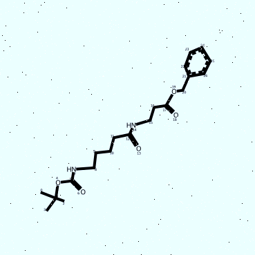 CC(C)(C)OC(=O)NCCCCC(=O)NCCC(=O)OCc1ccccc1